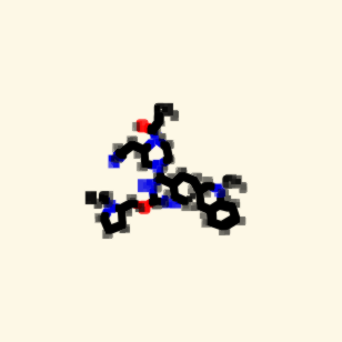 C=CC(=O)N1CCN(C2NC(OCC3CCCN3C)NC3C[C@@]4(CCC32)Cc2ccccc2N(C)C4)CC1CC#N